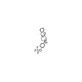 [2H][C@@]1(c2ccc(OC(F)(F)F)cc2)CCN([C@H](C)c2ccccc2)C(=O)CO1